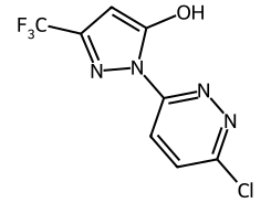 Oc1cc(C(F)(F)F)nn1-c1ccc(Cl)nn1